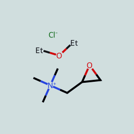 CCOCC.C[N+](C)(C)CC1CO1.[Cl-]